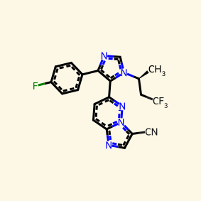 C[C@@H](CC(F)(F)F)n1cnc(-c2ccc(F)cc2)c1-c1ccc2ncc(C#N)n2n1